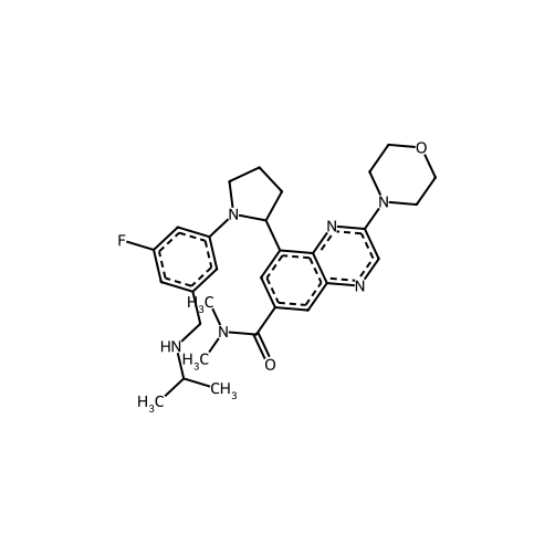 CC(C)NCc1cc(F)cc(N2CCCC2c2cc(C(=O)N(C)C)cc3ncc(N4CCOCC4)nc23)c1